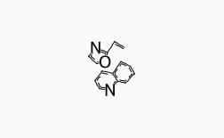 C=Cc1ncco1.c1ccc2ncccc2c1